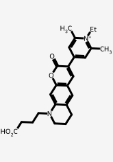 CC[n+]1c(C)cc(-c2cc3cc4c(cc3oc2=O)N(CCCC(=O)O)CCC4)cc1C